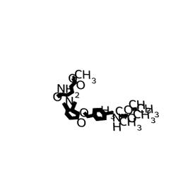 COC(=O)CCC(C(N)=O)N1C=C2C=CC(=O)C(OCc3ccc(CNC(C)(C)C(=O)OC(C)(C)C)cc3)=C2C1